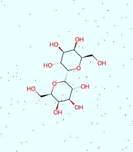 OC[C@H]1O[C@H]([C]2O[C@H](CO)[C@H](O)[C@H](O)[C@H]2O)[C@H](O)[C@@H](O)[C@H]1O